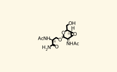 CC(=O)N[C@@H](CO[C@@H]1OC(CO)[C@H]2OC2[C@@H]1NC(C)=O)C(N)=O